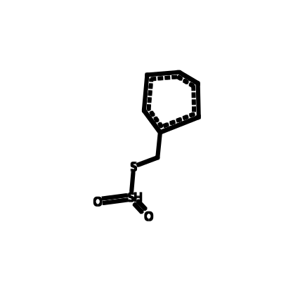 O=[SH](=O)SCc1ccccc1